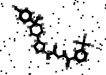 O=C(CNC(=O)c1cccc(C(F)(F)F)c1)N[C@@H]1CCN(C2CCC(O)(c3ccc(F)cc3)CC2)C1